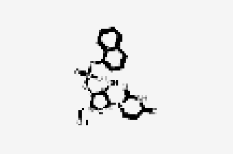 O=c1ccn([C@@H]2O[C@H](CO)[C@@H](OP(=O)(O)Oc3cccc4ccccc34)[C@H]2O)c(=O)[nH]1